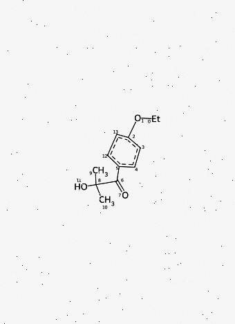 [CH2]COc1ccc(C(=O)C(C)(C)O)cc1